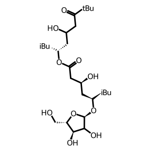 CC[C@@H](C)[C@H](CC(O)CC(=O)C(C)(C)C)OC(=O)C[C@@H](O)C[C@H](O[C@@H]1O[C@@H](CO)[C@H](O)C1O)[C@H](C)CC